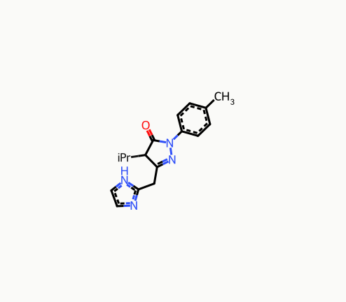 Cc1ccc(N2N=C(Cc3ncc[nH]3)C(C(C)C)C2=O)cc1